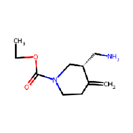 C=C1CCN(C(=O)OCC)C[C@@H]1CN